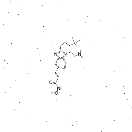 CC(Cc1nc2cc(/C=C/C(=O)NO)ccc2n1CCN(C)C)CC(C)(C)C